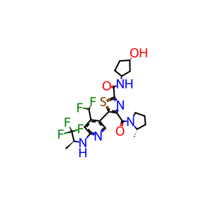 C[C@H](Nc1cc(C(F)F)c(-c2sc(C(=O)N[C@H]3CC[C@H](O)C3)nc2C(=O)N2CCC[C@@H]2C)cn1)C(F)(F)F